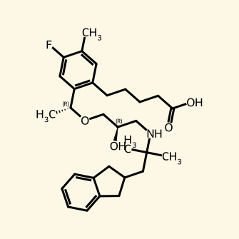 Cc1cc(CCCCC(=O)O)c([C@@H](C)OC[C@H](O)CNC(C)(C)CC2Cc3ccccc3C2)cc1F